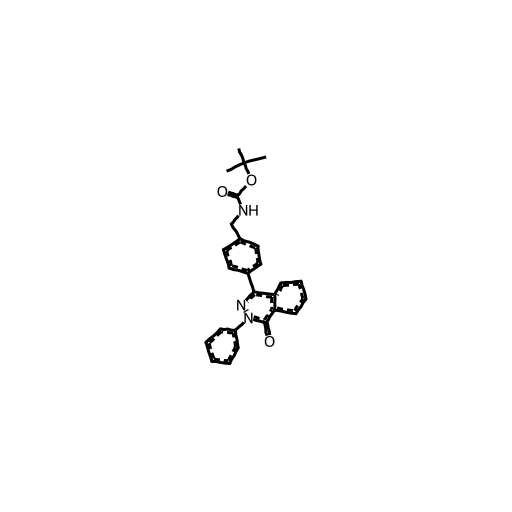 CC(C)(C)OC(=O)NCc1ccc(-c2nn(-c3ccccc3)c(=O)c3ccccc23)cc1